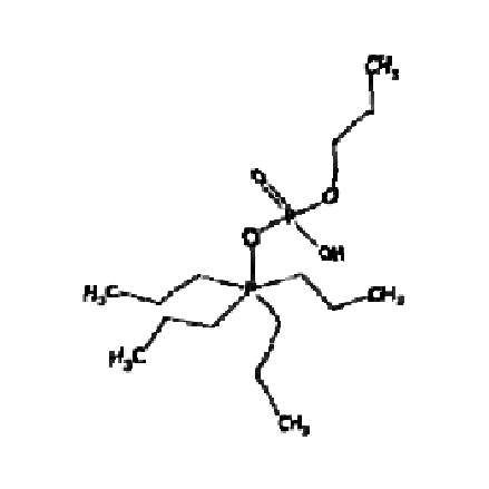 CCCOP(=O)(O)OP(CCC)(CCC)(CCC)CCC